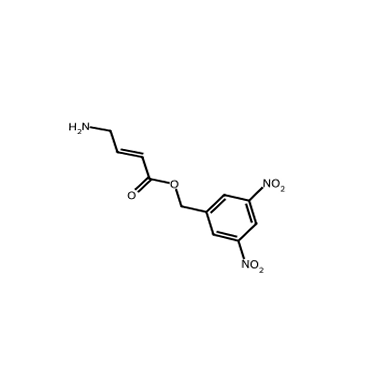 NC/C=C/C(=O)OCc1cc([N+](=O)[O-])cc([N+](=O)[O-])c1